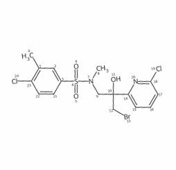 Cc1cc(S(=O)(=O)N(C)CC(O)(CBr)c2cccc(Cl)n2)ccc1Cl